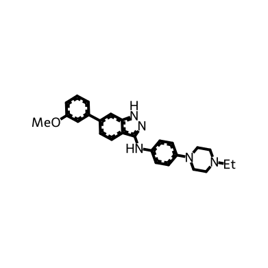 CCN1CCN(c2ccc(Nc3n[nH]c4cc(-c5cccc(OC)c5)ccc34)cc2)CC1